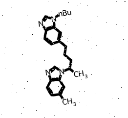 CCCCn1cnc2ccc(CCCC(C)n3cnc4ccc(C)cc43)cc21